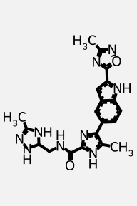 CC1=NNC(CNC(=O)c2nc(-c3ccc4[nH]c(-c5nc(C)no5)cc4c3)c(C)[nH]2)N1